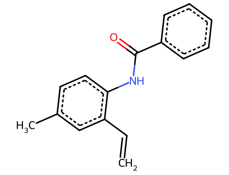 C=Cc1cc(C)ccc1NC(=O)c1ccccc1